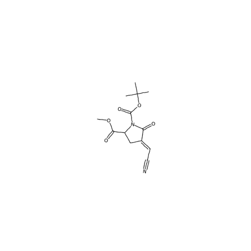 COC(=O)C1CC(=CC#N)C(=O)N1C(=O)OC(C)(C)C